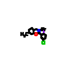 CC1CCC(CN(C(=O)c2cc(Cl)ccc2I)C(C)C)CC1